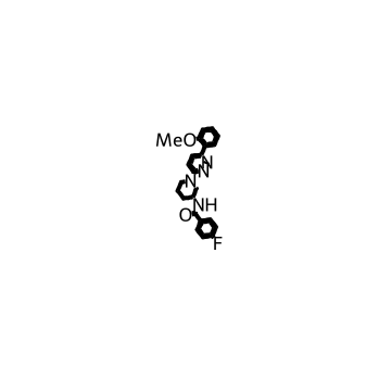 COc1ccccc1-c1ccc(N2CCCC(NC(=O)c3ccc(F)cc3)C2)nn1